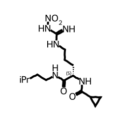 CC(C)CCNC(=O)[C@H](CCCNC(=N)N[N+](=O)[O-])NC(=O)C1CC1